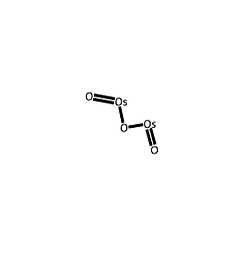 [O]=[Os][O][Os]=[O]